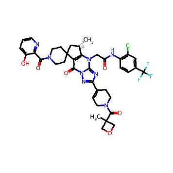 C[C@H]1CC2(CCN(C(=O)c3ncccc3O)CC2)c2c1n(CC(=O)Nc1ccc(C(F)(F)F)cc1Cl)c1nc(C3=CCN(C(=O)C4(C)COC4)CC3)nn1c2=O